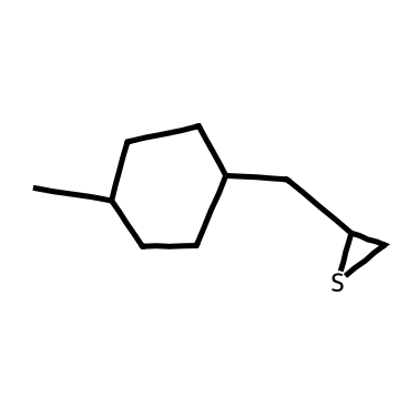 CC1CCC(CC2CS2)CC1